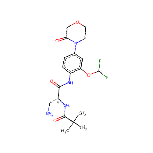 CC(C)(C)C(=O)N[C@H](CN)C(=O)Nc1ccc(N2CCOCC2=O)cc1OC(F)F